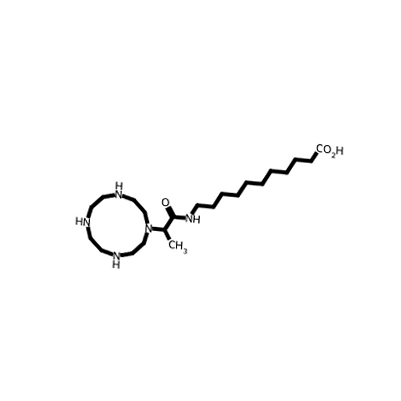 CC(C(=O)NCCCCCCCCCCC(=O)O)N1CCNCCNCCNCC1